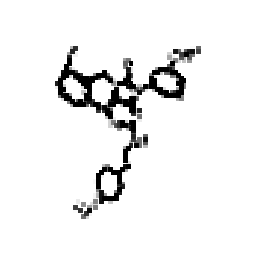 COc1cccc(-n2c(=O)n(Cc3c(F)cccc3F)c3cnc(NCCC4CCN(C)CC4)nc32)c1